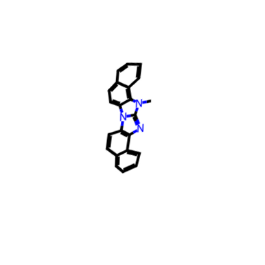 Cn1c2c3ccccc3ccc2n2c3ccc4ccccc4c3nc12